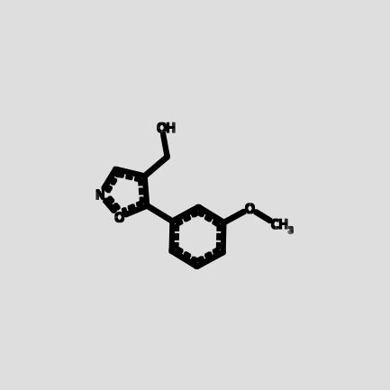 COc1cccc(-c2oncc2CO)c1